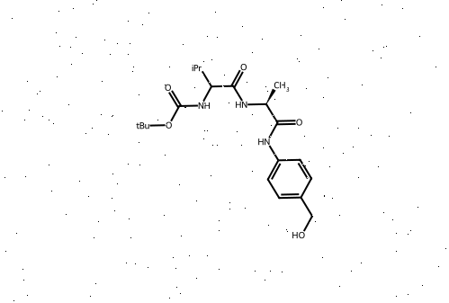 CC(C)C(NC(=O)OC(C)(C)C)C(=O)N[C@@H](C)C(=O)Nc1ccc(CO)cc1